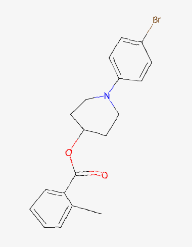 Cc1ccccc1C(=O)OC1CCN(c2ccc(Br)cc2)CC1